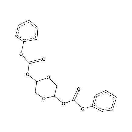 O=C(Oc1ccccc1)OC1COC(OC(=O)Oc2ccccc2)CO1